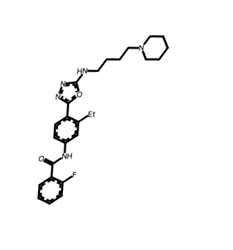 CCc1cc(NC(=O)c2ccccc2F)ccc1-c1nnc(NCCCCN2CCCCC2)o1